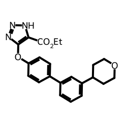 CCOC(=O)c1[nH]nnc1Oc1ccc(-c2cccc(C3CCOCC3)c2)cc1